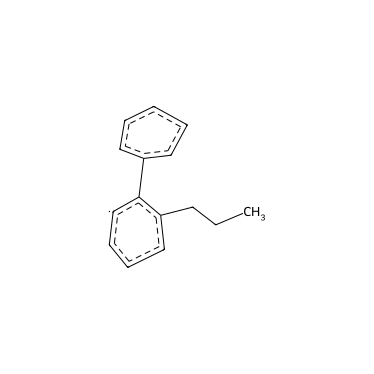 CCCc1ccc[c]c1-c1ccccc1